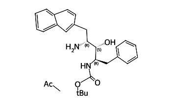 CC(C)(C)OC(=O)N[C@H](Cc1ccccc1)[C@@H](O)[C@H](N)Cc1ccc2ccccc2c1.CC(C)=O